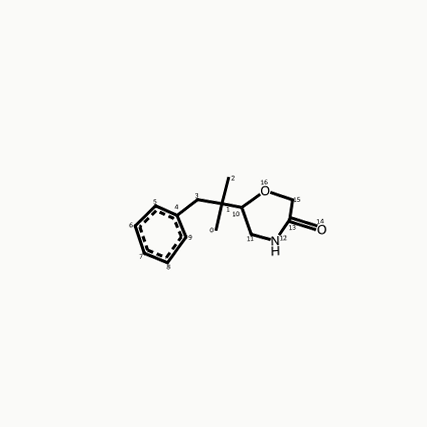 CC(C)(Cc1ccccc1)C1CNC(=O)CO1